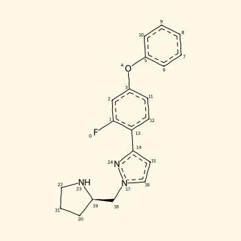 Fc1cc(Oc2ccccc2)ccc1-c1ccn(C[C@H]2CCCN2)n1